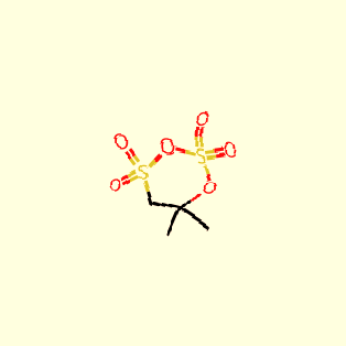 CC1(C)CS(=O)(=O)OS(=O)(=O)O1